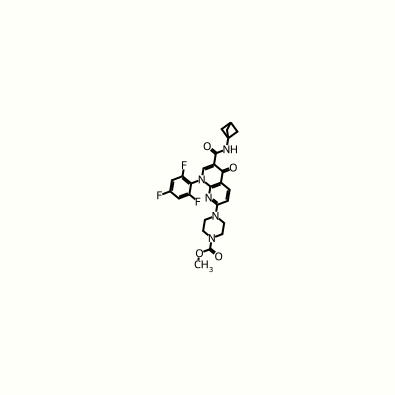 COC(=O)N1CCN(c2ccc3c(=O)c(C(=O)NC45CC(C4)C5)cn(-c4c(F)cc(F)cc4F)c3n2)CC1